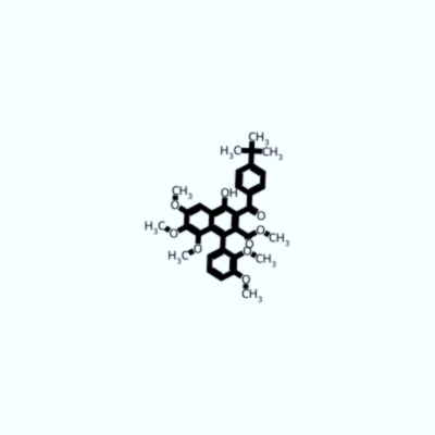 COC(=O)c1c(C(=O)c2ccc(C(C)(C)C)cc2)c(O)c2cc(OC)c(OC)c(OC)c2c1-c1cccc(OC)c1OC